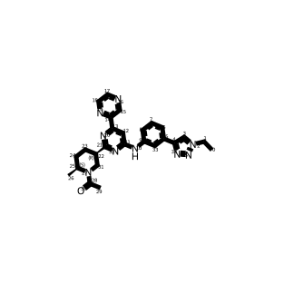 CCn1cc(-c2cccc(Nc3cc(-c4cnccn4)nc([C@@H]4CC[C@H](C)N(C(C)=O)C4)n3)c2)nn1